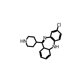 Clc1ccc2c(c1)N=C(C1CCNCC1)C1C=CC=CC1N2